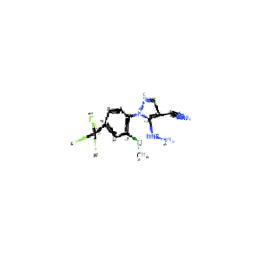 C.N#Cc1cnn(-c2ccc(C(F)(F)F)cc2Cl)c1NN